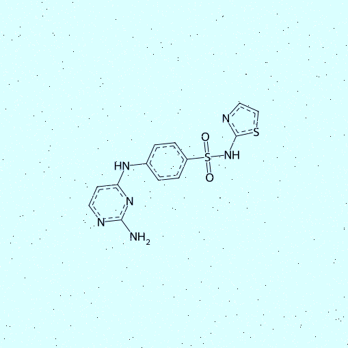 Nc1nccc(Nc2ccc(S(=O)(=O)Nc3nccs3)cc2)n1